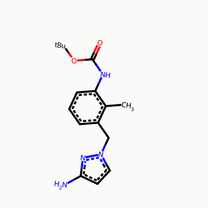 Cc1c(Cn2ccc(N)n2)cccc1NC(=O)OC(C)(C)C